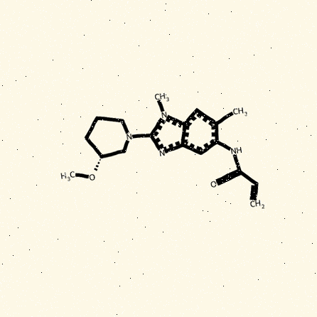 C=CC(=O)Nc1cc2nc(N3CCC[C@@H](OC)C3)n(C)c2cc1C